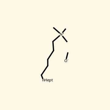 CCCCCCCCCCCC[N+](C)(C)C.C[O-]